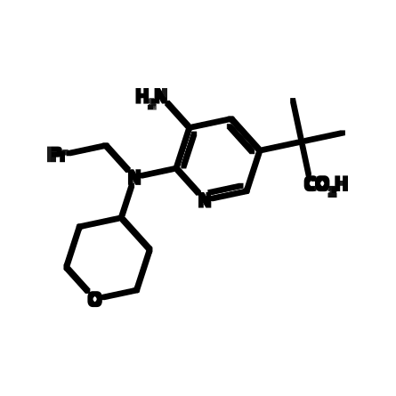 CC(C)CN(c1ncc(C(C)(C)C(=O)O)cc1N)C1CCOCC1